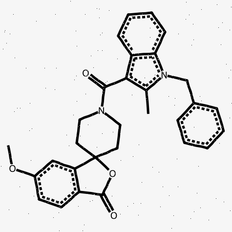 COc1ccc2c(c1)C1(CCN(C(=O)c3c(C)n(Cc4ccccc4)c4ccccc34)CC1)OC2=O